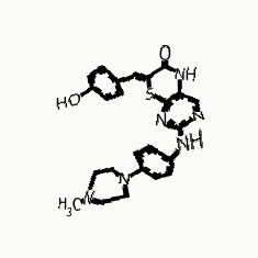 CN1CCN(c2ccc(Nc3ncc4c(n3)SC(=Cc3ccc(O)cc3)C(=O)N4)cc2)CC1